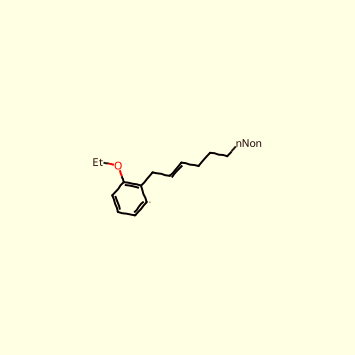 CCCCCCCCCCCCC=CCc1[c]cccc1OCC